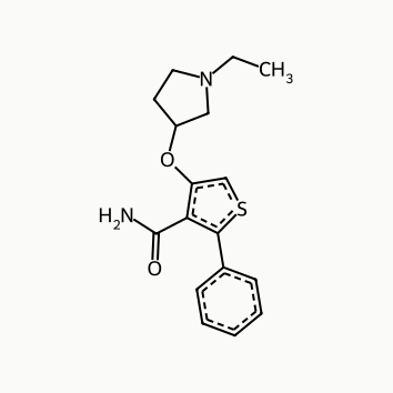 CCN1CCC(Oc2csc(-c3ccccc3)c2C(N)=O)C1